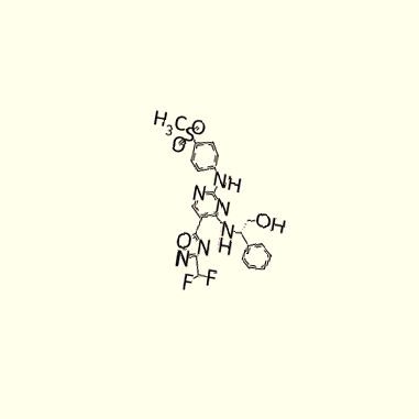 CS(=O)(=O)c1ccc(Nc2ncc(-c3nc(C(F)F)no3)c(N[C@H](CO)c3ccccc3)n2)cc1